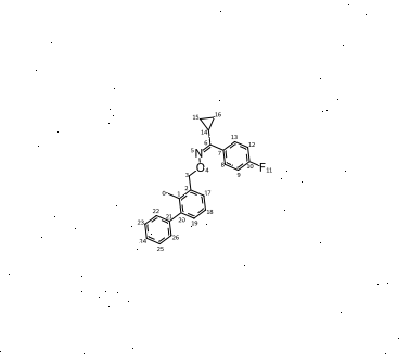 Cc1c(CON=C(c2ccc(F)cc2)C2CC2)cccc1-c1ccccc1